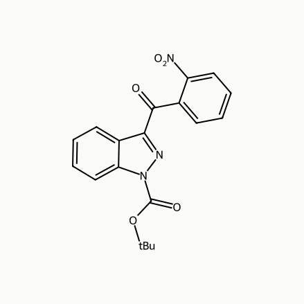 CC(C)(C)OC(=O)n1nc(C(=O)c2ccccc2[N+](=O)[O-])c2ccccc21